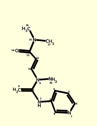 C=C(Nc1cccnc1)N(N)/C=C/C(=O)N(C)C